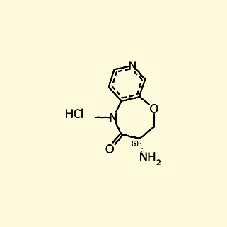 CN1C(=O)[C@@H](N)COc2cnccc21.Cl